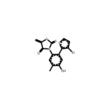 C=C1SC(=S)N(c2cc(C)c(O)cc2-c2sccc2CC)C1=O